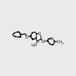 Cc1ccc(O[C@@H]2COc3ccc(OCc4ccccc4)cc3[C@@H]2O)cn1